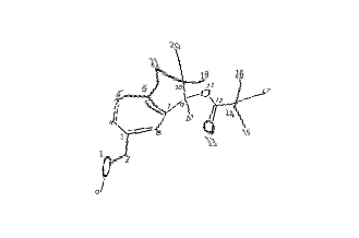 COCc1ccc2c(c1)C(C)(OC(=O)C(C)(C)C)C(C)(C)C2